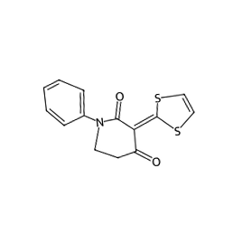 O=C1CCN(c2ccccc2)C(=O)C1=C1SC=CS1